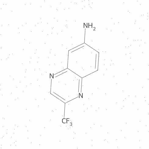 Nc1ccc2nc(C(F)(F)F)cnc2c1